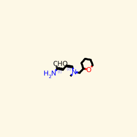 CN(/C=C\C=C(\N)C=O)CC1CCCCO1